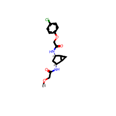 CCOCC(=O)N[C@@H]1C[C@H](NC(=O)COc2ccc(Cl)cc2)C2CC21